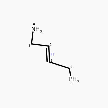 NC/C=C/CP